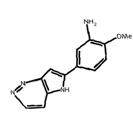 COc1ccc(-c2cc3nnccc3[nH]2)cc1N